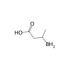 BC(C)CC(=O)O